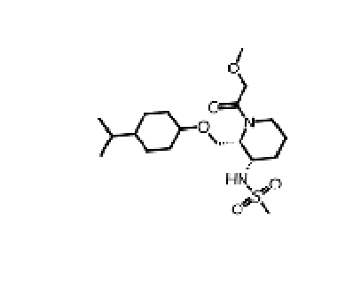 COCC(=O)N1CCC[C@H](NS(C)(=O)=O)[C@@H]1COC1CCC(C(C)C)CC1